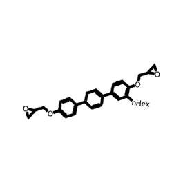 CCCCCCc1cc(C2=CCC(c3ccc(OCC4CO4)cc3)C=C2)ccc1OCC1CO1